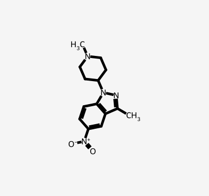 Cc1nn(C2CCN(C)CC2)c2ccc([N+](=O)[O-])cc12